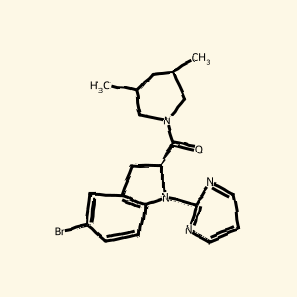 CC1CC(C)CN(C(=O)[C@@H]2Cc3cc(Br)ccc3N2c2ncccn2)C1